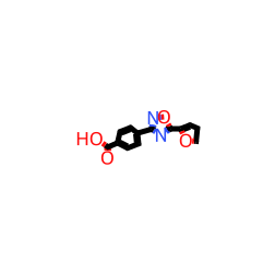 O=C(O)c1ccc(-c2noc(C3=CCCO3)n2)cc1